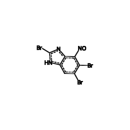 O=Nc1c(Br)c(Br)cc2[nH]c(Br)nc12